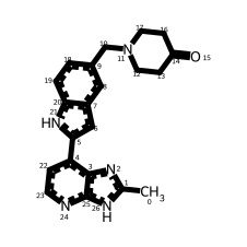 Cc1nc2c(-c3cc4cc(CN5CCC(=O)CC5)ccc4[nH]3)ccnc2[nH]1